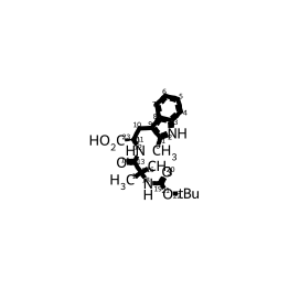 Cc1[nH]c2ccccc2c1C[C@@H](NC(=O)C(C)(C)NC(=O)OC(C)(C)C)C(=O)O